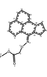 CC(C)OC(=O)CON=c1c2nccc3cccc(c32)n2cccc12